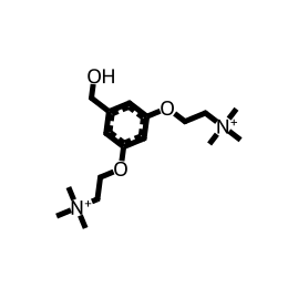 C[N+](C)(C)CCOc1cc(CO)cc(OCC[N+](C)(C)C)c1